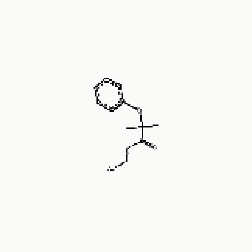 CC(=O)CCC(=O)C(C)(C)Oc1ccccc1